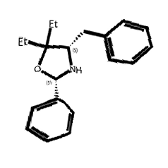 CCC1(CC)O[C@@H](c2ccccc2)N[C@H]1Cc1ccccc1